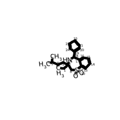 CCC1(CCC(C)C)CS(=O)(=O)c2ccccc2C(c2ccccc2)N1